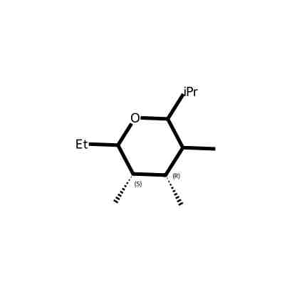 CCC1OC(C(C)C)C(C)[C@H](C)[C@@H]1C